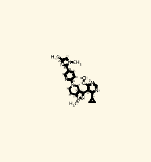 COc1ncnc(C2CC2)c1-c1nn(C)c2c1CN(c1ccc(-c3nc(C)cn3C)cn1)CC2